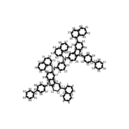 C1=C(c2cccc3ccccc23)CCc2c1c1cc(N(c3cccc(N(c4ccc5c(c4)c4cc(-c6cccc7ccccc67)ccc4n5-c4ccc(-c5ccccc5)cc4)c4cccc5ccccc45)c3)c3cccc4ccccc34)ccc1n2-c1ccc(-c2ccccc2)cc1